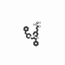 O=C(/C=C/C1=CC2=NC(c3ccccc3)C(CN3CCC(Cc4ccccc4)CC3)N2C=C1)NO